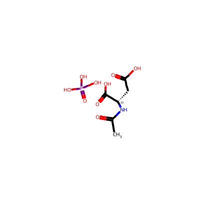 CC(=O)N[C@@H](CC(=O)O)C(=O)O.O=P(O)(O)O